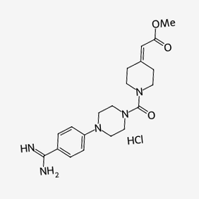 COC(=O)C=C1CCN(C(=O)N2CCN(c3ccc(C(=N)N)cc3)CC2)CC1.Cl